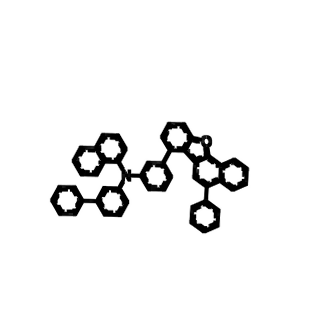 c1ccc(-c2cccc(N(c3cccc(-c4cccc5oc6c7ccccc7c(-c7ccccc7)cc6c45)c3)c3cccc4ccccc34)c2)cc1